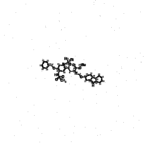 CC[Si](CC)(CC)OC(CN(CCOc1ccc2c(c1)[nH]c1ccccc12)C(=O)OC(C)(C)C)c1ccc(OCc2ccccc2)c(NS(C)(=O)=O)c1